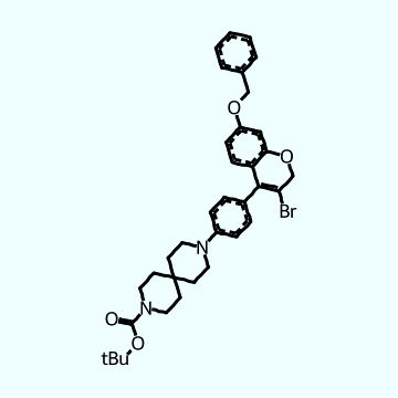 CC(C)(C)OC(=O)N1CCC2(CC1)CCN(c1ccc(C3=C(Br)COc4cc(OCc5ccccc5)ccc43)cc1)CC2